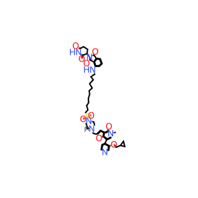 C[C@@H]1CN(S(=O)(=O)CCCCCCCCCCCCNc2cccc3c2C(=O)N(C2CCC(=O)NC2=O)C3=O)CCN1Cc1cc2c(=O)n(C)cc(-c3ccncc3OCC3CC3)c2o1